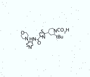 CC(C)(C)C1CC(c2nc(C(=O)Nc3cnsc3N3CCOCC3)cs2)CCN1C(=O)O